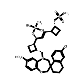 CC(C)(C)[Si](C)(C)O[C@@H](/C=C/[C@@H]1CC[C@H]1CS(N)(=O)=O)[C@@H]1CC[C@H]1CN1CC2(CCCc3cc(Cl)ccc32)COc2ccc(C(=O)O)cc21